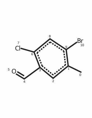 Cc1cc(C=O)c(Cl)cc1Br